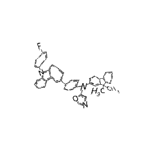 CC1(C)c2ccccc2-c2ccc(N(c3ccc(-c4ccc5c(c4)c4ccccc4n5-c4ccc(F)cc4)cc3)c3cnco3)cc21